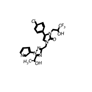 C[C@H](O)c1nc(Cn2cc(-c3ccc(Cl)cc3)n(CC(O)C(F)(F)F)c2=O)nn1-c1cccnc1